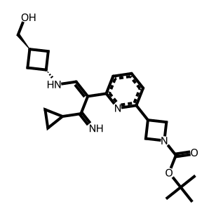 CC(C)(C)OC(=O)N1CC(c2cccc(/C(=C/N[C@H]3C[C@H](CO)C3)C(=N)C3CC3)n2)C1